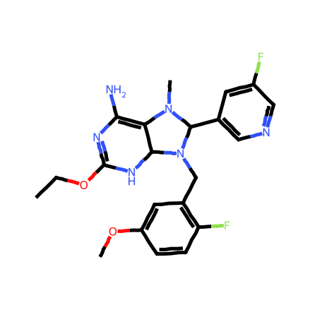 CCOC1=NC(N)=C2C(N1)N(Cc1cc(OC)ccc1F)C(c1cncc(F)c1)N2C